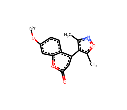 CCCOc1ccc2c(-c3c(C)noc3C)cc(=O)oc2c1